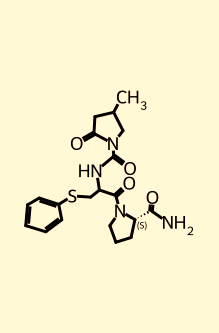 CC1CC(=O)N(C(=O)NC(CSc2ccccc2)C(=O)N2CCC[C@H]2C(N)=O)C1